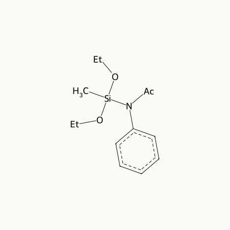 CCO[Si](C)(OCC)N(C(C)=O)c1ccccc1